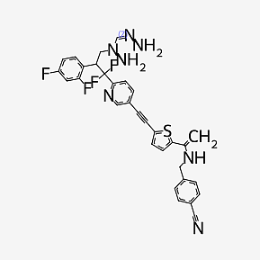 C=C(NCc1ccc(C#N)cc1)c1ccc(C#Cc2ccc(C(F)(F)C(CN(N)/C=N\N)c3ccc(F)cc3F)nc2)s1